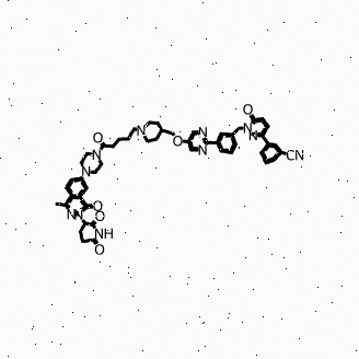 Cc1nn(C2CCC(=O)NC2=O)c(=O)c2cc(N3CCN(C(=O)CCCCN4CCC(COc5cnc(-c6cccc(Cn7nc(-c8cccc(C#N)c8)ccc7=O)c6)nc5)CC4)CC3)ccc12